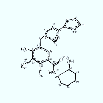 Cc1c(Cc2ccc(-n3cccn3)nc2)cc(C(=O)N[C@H]2CCCC[C@@H]2O)c(F)c1C